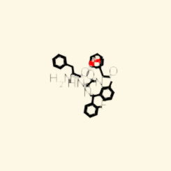 Cc1cccc2c1N(C(C=O)N1CC3CCC(CC3)C1)C(=O)[C@@H](NC(=O)[C@@H](N)Cc1ccccc1)N=C2c1ccccc1F